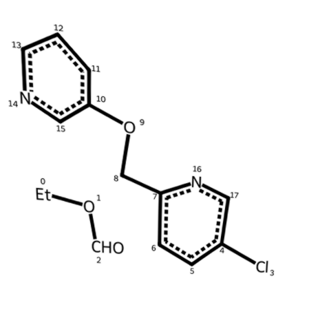 CCOC=O.Clc1ccc(COc2cccnc2)nc1